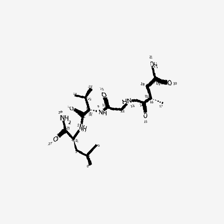 CC(C)C[C@H](NC(=O)[C@@H](NC(=O)CNC(=O)[C@@H](C)CC(=O)O)C(C)C)C(N)=O